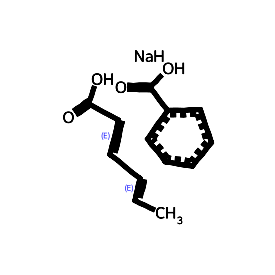 C/C=C/C=C/C(=O)O.O=C(O)c1ccccc1.[NaH]